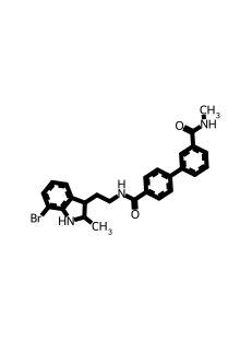 CNC(=O)c1cccc(-c2ccc(C(=O)NCCC3c4cccc(Br)c4NC3C)cc2)c1